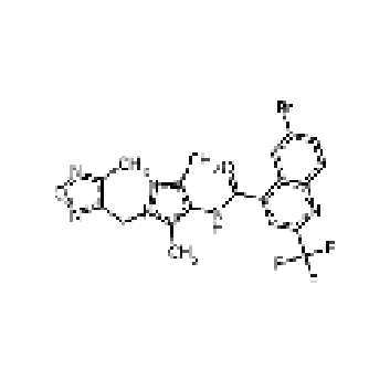 Cc1nonc1Cn1nc(C)c(NC(=O)c2cc(C(F)(F)F)nc3ccc(Br)cc23)c1C